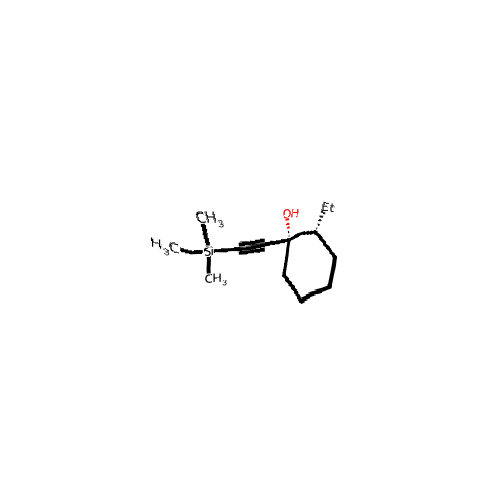 CC[C@@H]1CCCC[C@@]1(O)C#C[Si](C)(C)C